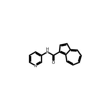 O=C(Nc1cccnc1)c1ccc2cccccc1-2